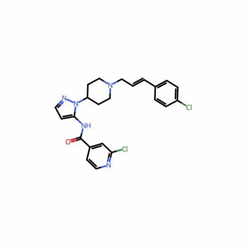 O=C(Nc1ccnn1C1CCN(CC=Cc2ccc(Cl)cc2)CC1)c1ccnc(Cl)c1